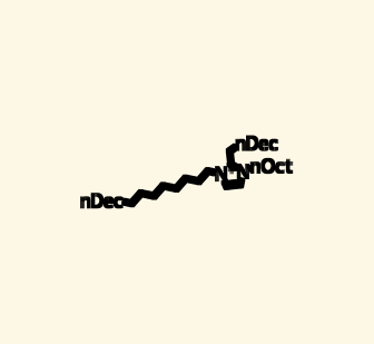 CCCCCCCCCCCCCCCCCC[n+]1ccn(CCCCCCCC)c1CCCCCCCCCCC